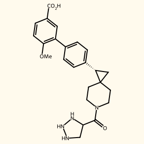 COc1ccc(C(=O)O)cc1-c1ccc([C@@H]2CC23CCN(C(=O)C2CNNN2)CC3)cc1